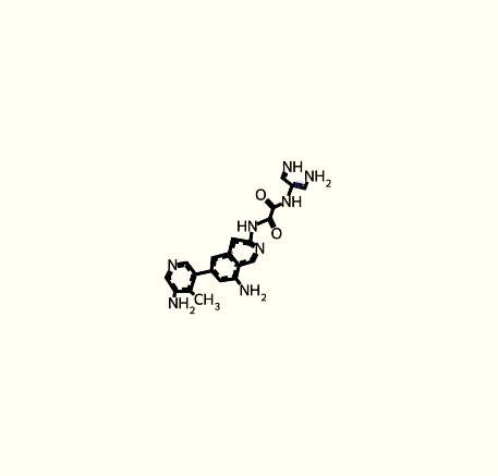 Cc1c(N)cncc1-c1cc(N)c2cnc(NC(=O)C(=O)N/C(C=N)=C/N)cc2c1